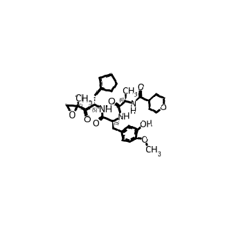 COc1ccc(C[C@H](NC(=O)[C@@H](C)NC(=O)C2CCOCC2)C(=O)N[C@@H](CC2CCCC2)C(=O)[C@@]2(C)CO2)cc1O